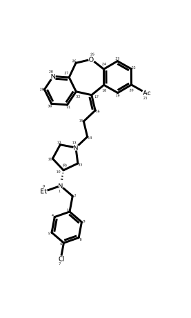 CCN(Cc1ccc(Cl)cc1)[C@@H]1CCN(CCC=C2c3cc(C(C)=O)ccc3OCc3ncccc32)C1